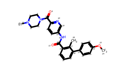 CCN1CCN(C(=O)c2ccc(NC(=O)c3cccc(-c4ccc(OC(F)(F)F)cc4)c3C)cn2)CC1